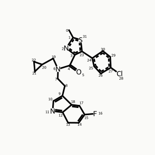 Cc1nc(C(=O)N(CCC2=CN=C3CC=C(F)C=C23)CC2CC2)c(-c2ccc(Cl)cc2)s1